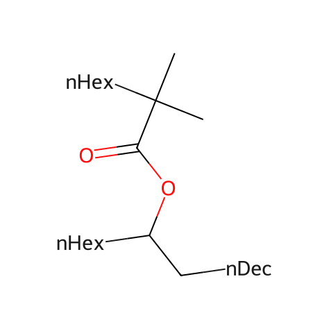 CCCCCCCCCCCC(CCCCCC)OC(=O)C(C)(C)CCCCCC